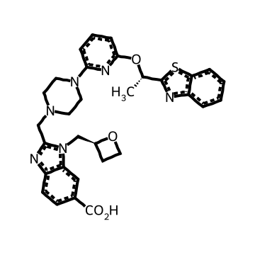 C[C@H](Oc1cccc(N2CCN(Cc3nc4ccc(C(=O)O)cc4n3C[C@@H]3CCO3)CC2)n1)c1nc2ccccc2s1